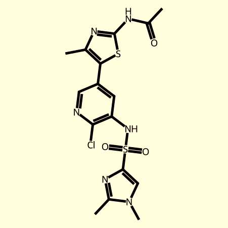 CC(=O)Nc1nc(C)c(-c2cnc(Cl)c(NS(=O)(=O)c3cn(C)c(C)n3)c2)s1